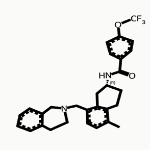 Cc1ccc(CN2CCc3ccccc3C2)c2c1CC[C@@H](NC(=O)c1ccc(OC(F)(F)F)cc1)C2